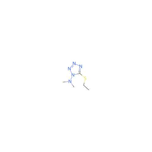 CCSc1nnnn1N(C)C